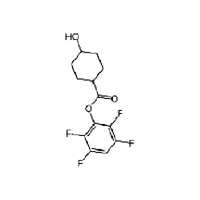 O=C(Oc1c(F)c(F)cc(F)c1F)C1CCC(O)CC1